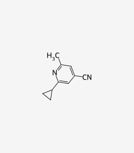 Cc1cc(C#N)cc(C2CC2)n1